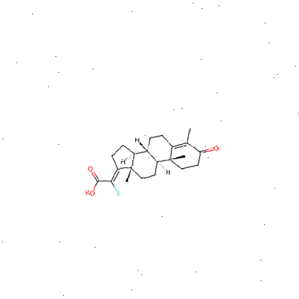 CC1=C2CC[C@@H]3[C@H](CC[C@]4(C)C(=C(F)C(=O)O)CC[C@@H]34)[C@@]2(C)CCC1=O